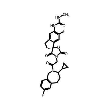 CNC(=O)Nc1cc2c(cc1F)[C@@]1(CC2)OC(=O)N(CC(=O)N2Cc3ccc(F)cc3CCC2C2CC2)C1=O